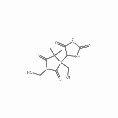 CC1(C)C(=O)N(CO)C(=O)[N+]1(CO)C1NC(=O)NC1=O